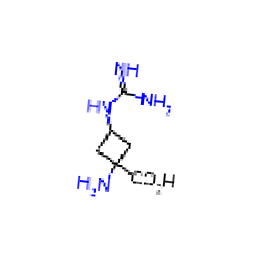 N=C(N)NC1CC(N)(C(=O)O)C1